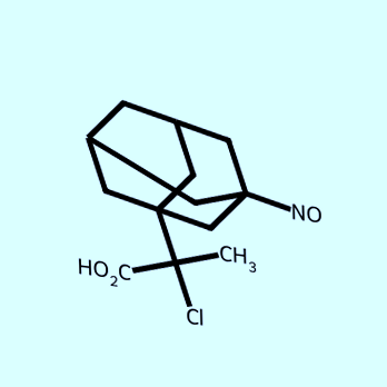 CC(Cl)(C(=O)O)C12CC3CC(CC(N=O)(C3)C1)C2